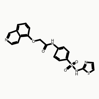 O=C(COc1cccc2cnccc12)Nc1ccc(S(=O)(=O)Nc2nccs2)cc1